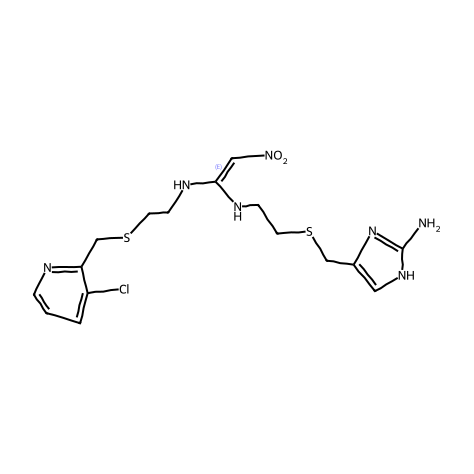 Nc1nc(CSCCN/C(=C\[N+](=O)[O-])NCCSCc2ncccc2Cl)c[nH]1